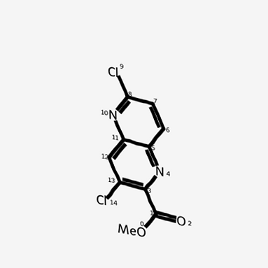 COC(=O)c1nc2ccc(Cl)nc2cc1Cl